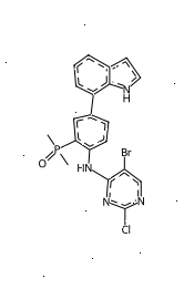 CP(C)(=O)c1cc(-c2cccc3cc[nH]c23)ccc1Nc1nc(Cl)ncc1Br